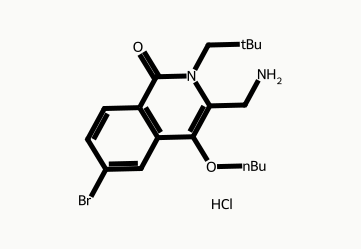 CCCCOc1c(CN)n(CC(C)(C)C)c(=O)c2ccc(Br)cc12.Cl